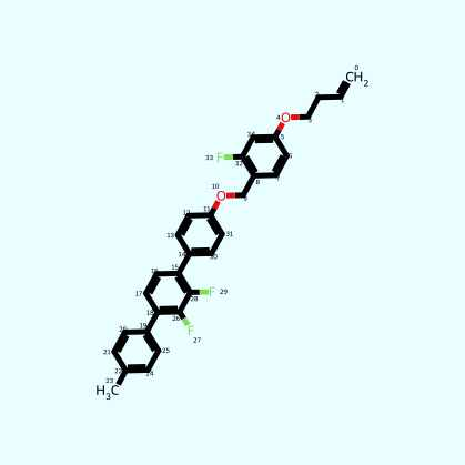 C=CCCOc1ccc(COc2ccc(-c3ccc(-c4ccc(C)cc4)c(F)c3F)cc2)c(F)c1